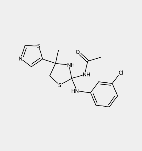 CC(=O)NC1(Nc2cccc(Cl)c2)NC(C)(c2cncs2)CS1